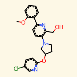 COc1ccccc1-c1ccc(N2CCC(Oc3ccc(Cl)cn3)C2)c(CO)n1